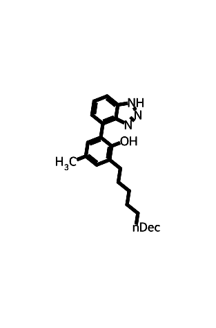 CCCCCCCCCCCCCCCc1cc(C)cc(-c2cccc3[nH]nnc23)c1O